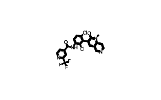 Cn1c(=O)c(-c2c(Cl)ccc(NC(=O)c3ccnc(C(F)(F)F)c3)c2Cl)cc2cnccc21